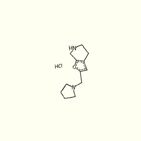 Cl.c1c(CN2CCCC2)oc2c1CCNC2